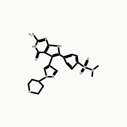 CN(C)S(=O)(=O)c1ccc(-c2[nH]c3nc(N)[nH]c(=O)c3c2-c2cnn(C3CCOCC3)c2)cc1